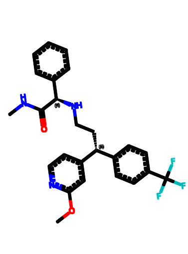 CNC(=O)[C@H](NCC[C@H](c1ccc(C(F)(F)F)cc1)c1ccnc(OC)c1)c1ccccc1